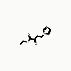 CCOC(=O)C(=O)CCn1ccnc1